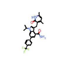 Cc1cc(C)c(Cc2cn(C(C)C)c3cc(-c4ccc(C(F)(F)F)cc4)cc(C(N)=O)c23)c(=O)[nH]1